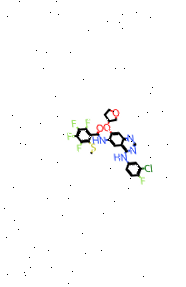 CSc1c(F)c(F)c(F)c(F)c1C(=O)Nc1cc2c(Nc3ccc(F)c(Cl)c3)ncnc2cc1O[C@H]1CCOC1